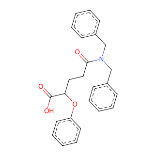 O=C(O)C(CCC(=O)N(Cc1ccccc1)Cc1ccccc1)Oc1ccccc1